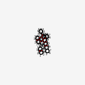 c1ccc(-c2cccc3cccc(-c4ccccc4N(c4ccccc4-c4cccc5cccc(-c6ccccc6)c45)c4ccccc4-c4cccc5c4c4ccccc4n5-c4ccccc4)c23)cc1